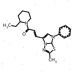 CCC1CCCCN1C(=O)C=CC1=CN(c2ccccc2)C2SC(C)=NN12